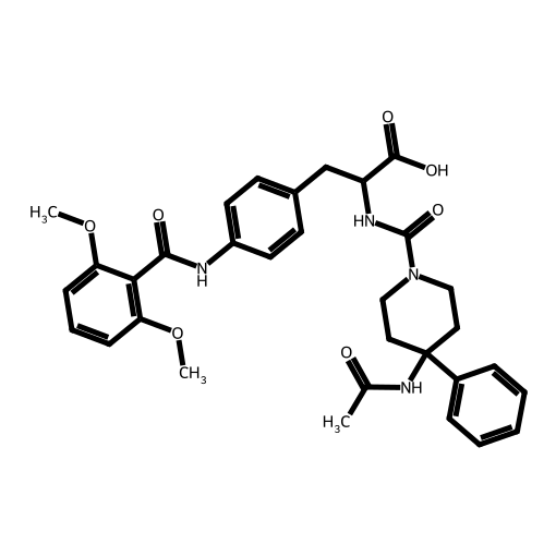 COc1cccc(OC)c1C(=O)Nc1ccc(CC(NC(=O)N2CCC(NC(C)=O)(c3ccccc3)CC2)C(=O)O)cc1